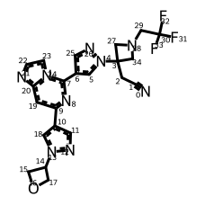 N#CCC1(n2cc(-c3nc(-c4cnn(C5COC5)c4)cc4nccn34)cn2)CN(CC(F)(F)F)C1